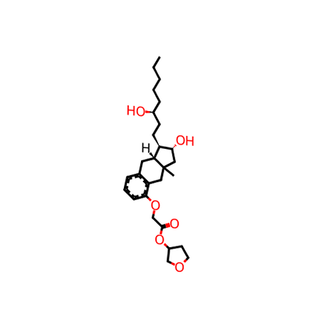 CCCCC[C@H](O)CC[C@H]1[C@H](O)CC2(C)Cc3c(cccc3OCC(=O)OC3CCOC3)C[C@H]12